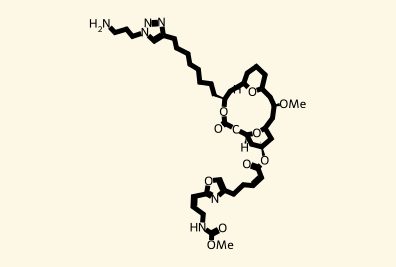 COC(=O)NC/C=C\c1nc(CC/C=C\C(=O)O[C@@H]2CC3C[C@H](OC)CC4CCC[C@@H](C[C@H](CCCCCCCCc5cn(CCCN)nn5)OC(=O)C[C@H](C2)O3)O4)co1